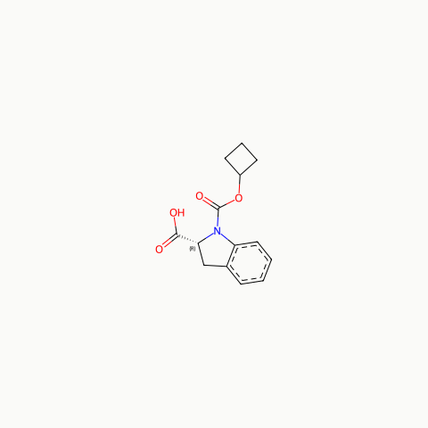 O=C(O)[C@H]1Cc2ccccc2N1C(=O)OC1CCC1